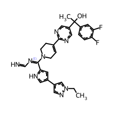 CCn1cc(-c2c[nH]c(/C(=N\C=N)N3CC=C(c4ncc(C(C)(O)c5ccc(F)c(F)c5)cn4)CC3)c2)cn1